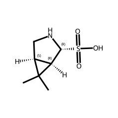 CC1(C)[C@H]2[C@@H]1CN[C@@H]2S(=O)(=O)O